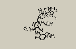 CC(C)(C(N)=O)N1CCN(Cc2nc3c(N4CCOCC4)nc(-c4c(F)ccc5[nH]ccc45)nc3n2CCO)CC1